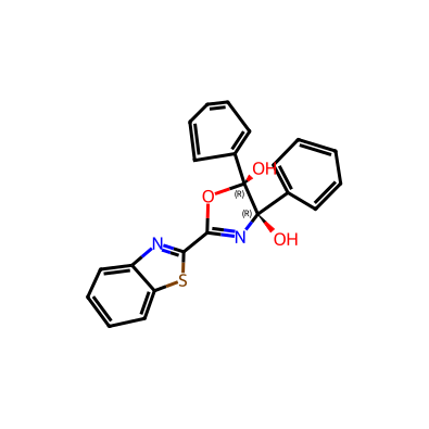 O[C@@]1(c2ccccc2)N=C(c2nc3ccccc3s2)O[C@]1(O)c1ccccc1